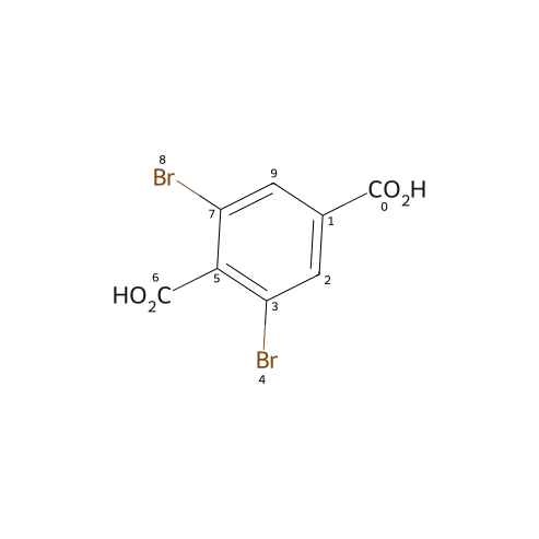 O=C(O)c1cc(Br)c(C(=O)O)c(Br)c1